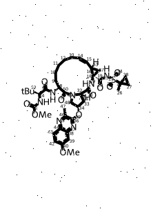 COC(=O)N[C@H](C(=O)N[C@H]1CCCCC/C=C\[C@@H]2C[C@@]2(C(=O)NS(=O)(=O)C2(C)CC2)NC(=O)[C@@H]2C[C@@H](Oc3nc4cc(OC)ccc4nc3C)CN2C1=O)C(C)(C)C